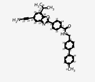 Cc1ccc(-c2ccc(CNC(=O)c3ccc(-c4nc5cc(C#CN)cc(C(C)C)c5o4)cc3)cc2)cc1